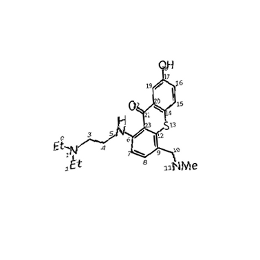 CCN(CC)CCNc1ccc(CNC)c2sc3ccc(O)cc3c(=O)c12